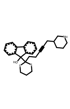 OC1(C2(CCC#CCC3CCCNC3)SCCCS2)c2ccccc2-c2ccccc21